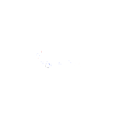 BCN1CCC(N2CCC(n3ccc(NC4CCC(=O)NC4=O)n3)CC2)CC1